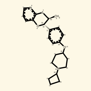 C[C@@H]1Sc2ncccc2O[C@H]1c1ccc(OC2CCN(C3CCC3)CC2)cc1